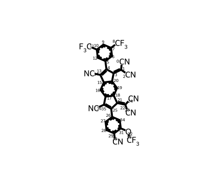 N#CC(C#N)=C1C(c2cc(C(F)(F)F)cc(C(F)(F)F)c2)=C(C#N)c2cc3c(cc21)C(=C(C#N)C#N)C(c1ccc(C#N)c(OC(F)(F)F)c1)=C3C#N